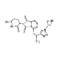 CC(Oc1cccc2c1C(=O)N(C1CCC(=O)NC1=O)C2=O)c1cn(C2CNC2)nn1